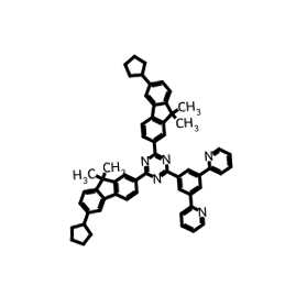 CC1(C)c2ccc(C3CCCC3)cc2-c2ccc(-c3nc(-c4cc(-c5ccccn5)cc(-c5ccccn5)c4)nc(-c4ccc5c(c4)C(C)(C)c4ccc(C6CCCC6)cc4-5)n3)cc21